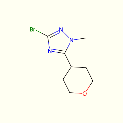 Cn1nc(Br)nc1C1CCOCC1